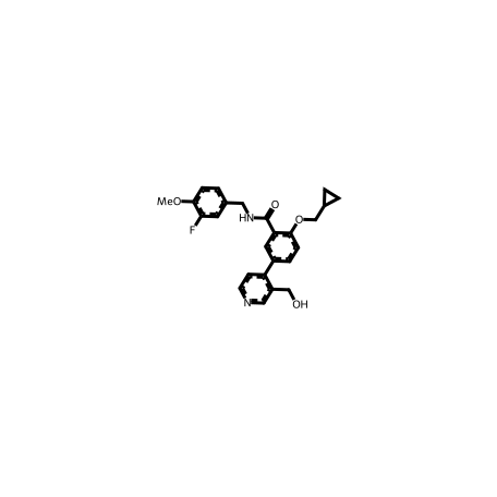 COc1ccc(CNC(=O)c2cc(-c3ccncc3CO)ccc2OCC2CC2)cc1F